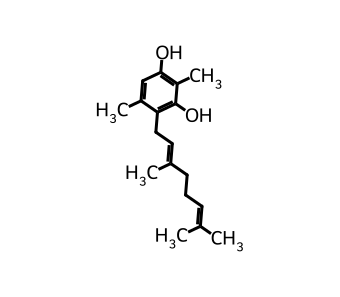 CC(C)=CCC/C(C)=C/Cc1c(C)cc(O)c(C)c1O